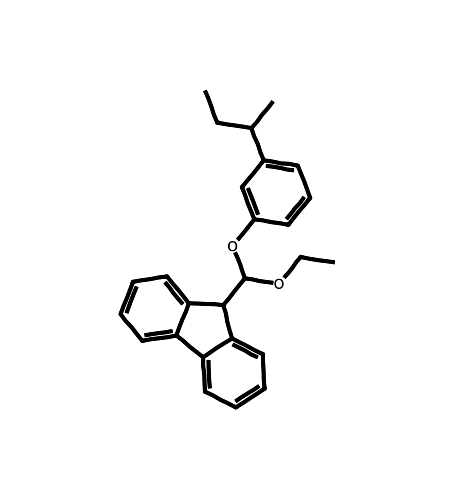 CCOC(Oc1cccc(C(C)CC)c1)C1c2ccccc2-c2ccccc21